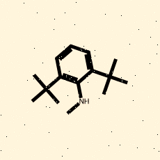 CNc1c(C(C)(C)C)cccc1C(C)(C)C